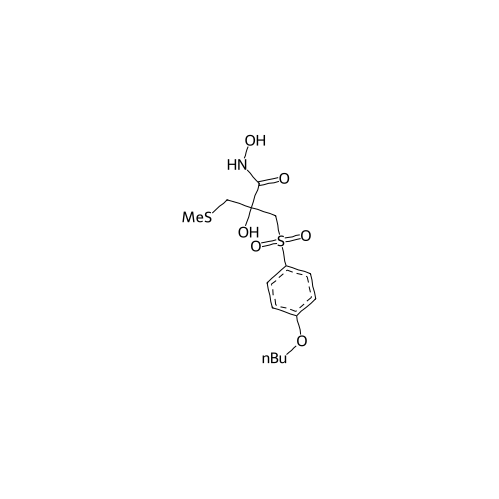 CCCCOc1ccc(S(=O)(=O)CC(O)(CSC)C(=O)NO)cc1